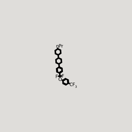 CCCC1CCC(C2CCC(c3ccc(C(F)(F)Oc4ccc(C(F)(F)F)cc4)cc3)CC2)CC1